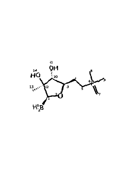 B[C@@H]1O[C@H](CCP(=C)(C)C)[C@@H](O)[C@]1(C)O